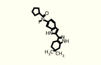 CC1(C)CCc2c(-c3cc4ccc(N(I)C(=O)C5CCCC5)cc4[nH]3)n[nH]c2C1